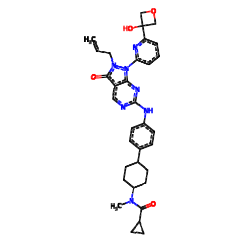 C=CCn1c(=O)c2cnc(Nc3ccc(C4CCC(N(C)C(=O)C5CC5)CC4)cc3)nc2n1-c1cccc(C2(O)COC2)n1